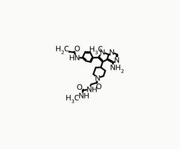 C=CC(=O)Nc1ccc(-c2c(C3CCN(C(=O)CNC(=O)NC)CC3)c3c(N)ncnc3n2C)cc1